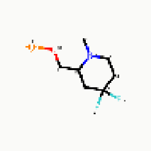 CN1CCC(F)(F)CC1COP